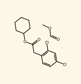 COC=O.O=C(Cc1ccc(Cl)cc1Cl)OC1CCCCC1